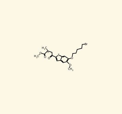 COC(=O)[C@@H](C)CC(=O)c1cc2cc(OC)c(OCCCCCBr)cc2s1